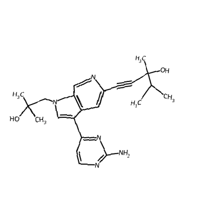 CC(C)C(C)(O)C#Cc1cc2c(-c3ccnc(N)n3)cn(CC(C)(C)O)c2cn1